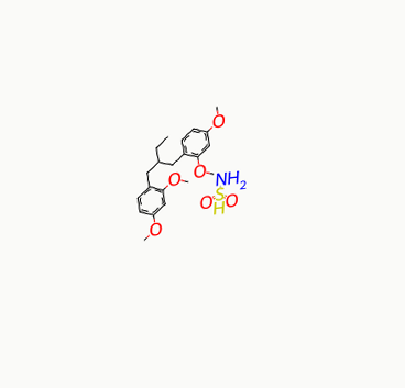 CCC(Cc1ccc(OC)cc1OC)Cc1ccc(OC)cc1OC.N[SH](=O)=O